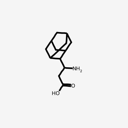 NC(CC(=O)O)C1C2CC3CC(C2)CC1C3